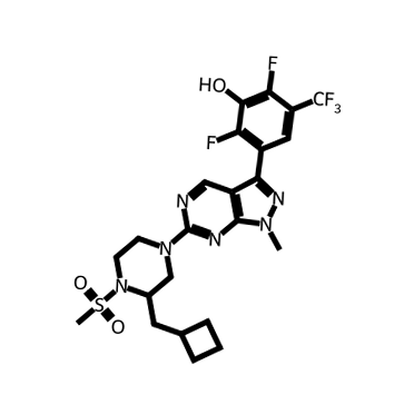 Cn1nc(-c2cc(C(F)(F)F)c(F)c(O)c2F)c2cnc(N3CCN(S(C)(=O)=O)C(CC4CCC4)C3)nc21